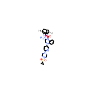 NC(=O)C12CC3C[C@H](C1)C(NC(=O)N1CCN(c4ccc(N5CCN(S(=O)(=O)C6CC6)CC5)nc4)c4ccccc41)[C@@H](C3)C2